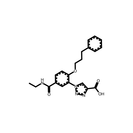 CCNC(=O)c1ccc(OCCCc2ccccc2)c(-n2cc(C(=O)O)nn2)c1